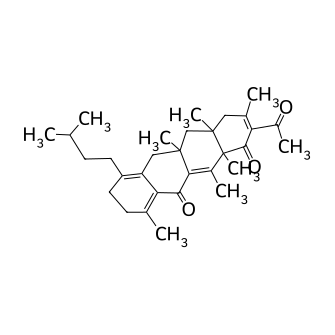 CC(=O)C1=C(C)CC2(C)CC3(C)CC4=C(CCC(C)C)CCC(C)=C4C(=O)C3=C(C)C2(C)C1=O